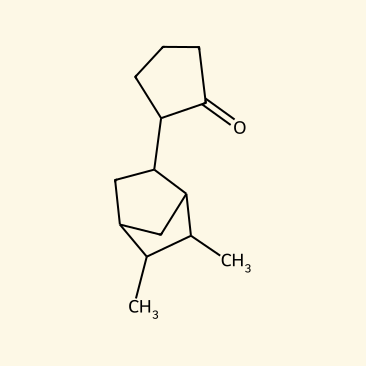 CC1C2CC(C3CCCC3=O)C(C2)C1C